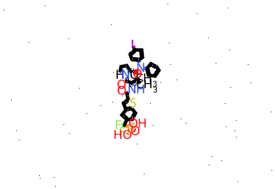 CC(C)(C)[C@H](NC(=O)c1cc2cc(C(F)(F)P(=O)(O)O)ccc2s1)C(=O)N1CCC[C@H]1C(=O)N(c1ccccc1)c1ccc(I)cc1